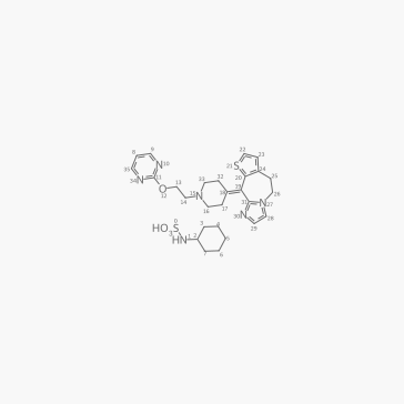 O=S(=O)(O)NC1CCCCC1.c1cnc(OCCN2CCC(=C3c4sccc4CCn4ccnc43)CC2)nc1